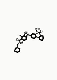 Cc1c(C(=O)NCc2ccccc2)ccc2c1nnn2-c1ccc(-c2ccccc2C(=O)OC(C)(C)C)cc1